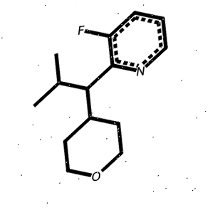 CC(C)C(c1ncccc1F)C1CCOCC1